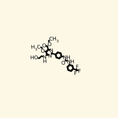 CCOC(=O)c1nc(-c2ccc(NC(=O)Nc3cccc(C(F)(F)F)c3)cc2)nc(NCCO)c1OCC